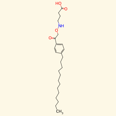 CCCCCCCCCCCCCc1ccc(C(=O)CONCCCC(=O)O)cc1